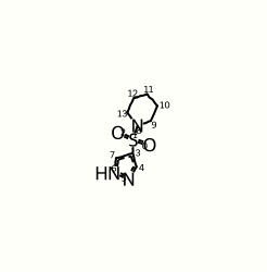 O=S(=O)(c1cn[nH]c1)N1CCCCC1